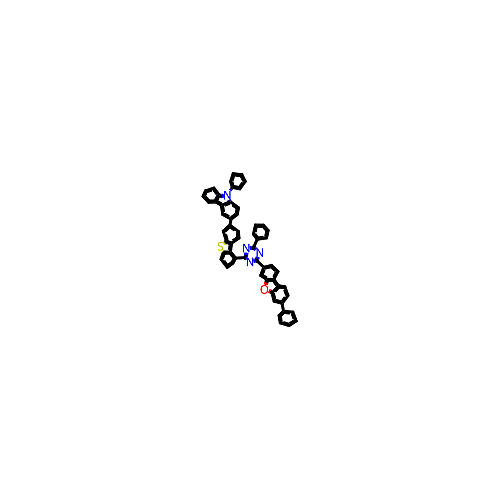 c1ccc(-c2ccc3c(c2)oc2cc(-c4nc(-c5ccccc5)nc(-c5cccc6sc7cc(-c8ccc9c(c8)c8ccccc8n9-c8ccccc8)ccc7c56)n4)ccc23)cc1